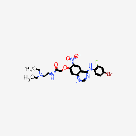 CCN(CC)CCNC(=O)COc1cc2ncnc(Nc3ccc(Br)cc3F)c2cc1[N+](=O)[O-]